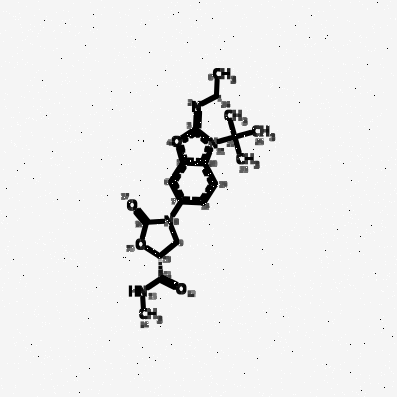 CCN=c1oc2cc(N3C[C@H](C(=O)NC)OC3=O)ccc2n1C(C)(C)C